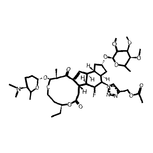 CC[C@H]1CCC[C@H](O[C@H]2CC[C@H](N(C)C)C(C)O2)[C@@H](C)C(=O)C2=C[C@H]3[C@@H]4C[C@H](O[C@@H]5OC(C)[C@H](OC)C(OC)C5OC)C[C@H]4C(n4cc(COC(C)=O)nn4)C(F)[C@H]3[C@@H]2CC(=O)O1